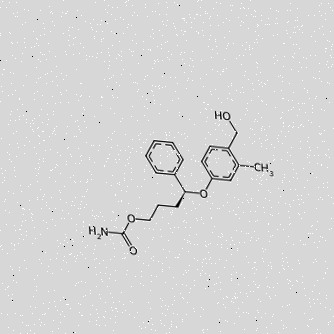 Cc1cc(O[C@@H](CCCOC(N)=O)c2ccccc2)ccc1CO